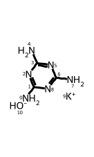 Nc1nc(N)nc(N)n1.[K+].[OH-]